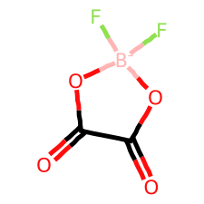 O=C1O[B-](F)(F)OC1=O